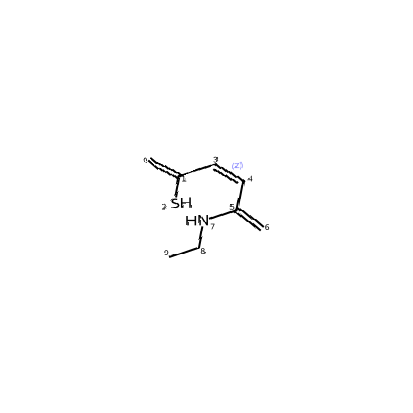 C=C(S)/C=C\C(=C)NCC